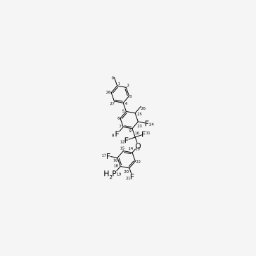 Cc1ccc(C2=CC(F)=C(C(F)(F)Oc3cc(F)c(P)c(F)c3)C(F)C2C)cc1